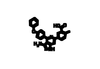 Cc1ccc(-c2cc3[nH]nc(N)c3c(-c3ccc(Oc4ccccc4)cc3)n2)cc1C(=O)O